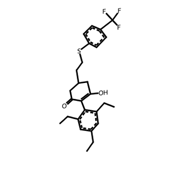 CCc1cc(CC)c(C2=C(O)CC(CCSc3ccc(C(F)(F)F)cc3)CC2=O)c(CC)c1